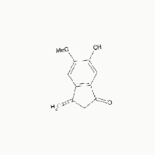 C=C1CC(=O)c2cc(O)c(OC)cc21